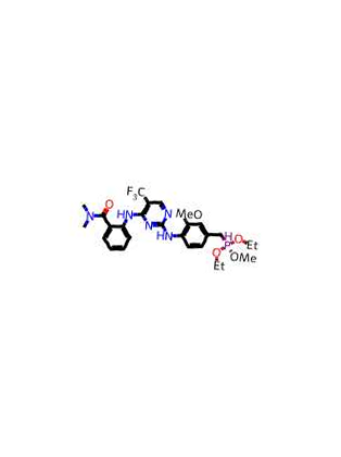 CCO[PH](Cc1ccc(Nc2ncc(C(F)(F)F)c(Nc3ccccc3C(=O)N(C)C)n2)c(OC)c1)(OC)OCC